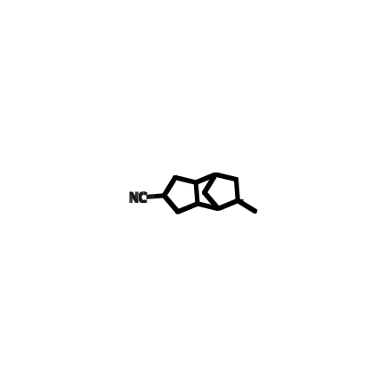 C[C]1CC2CC1C1CC(C#N)CC21